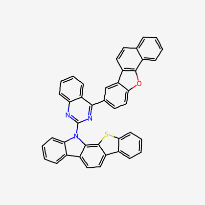 c1ccc2c(c1)ccc1c3cc(-c4nc(-n5c6ccccc6c6ccc7c8ccccc8sc7c65)nc5ccccc45)ccc3oc21